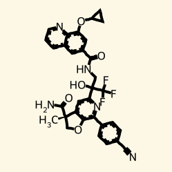 C[C@]1(C(N)=O)COc2c1cc(C(O)(CNC(=O)c1cc(OC3CC3)c3ncccc3c1)C(F)(F)F)nc2-c1ccc(C#N)cc1